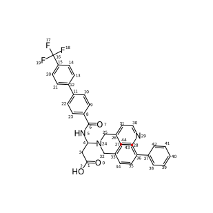 O=C(O)CC(NC(=O)c1ccc(-c2ccc(C(F)(F)F)cc2)cc1)N(Cc1ccncc1)Cc1ccc(-c2ccccc2)cc1